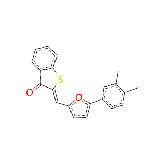 Cc1ccc(-c2ccc(C=C3Sc4ccccc4C3=O)o2)cc1C